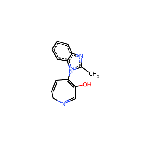 Cc1nc2ccccc2n1C1=C(O)C=NCC=C1